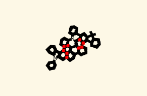 CC1(C)c2ccccc2-c2ccc(-c3ccccc3N(c3cccc(-c4cccc5c4c4ccccc4n5-c4ccccc4)c3)c3ccccc3-c3cccc4cccc(-c5ccccc5)c34)cc21